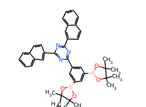 CC1(C)OB(c2cc(B3OC(C)(C)C(C)(C)O3)cc(-c3nc(-c4ccc5ccccc5c4)nc(-c4ccc5ccccc5c4)n3)c2)OC1(C)C